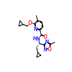 Cc1nc([C@H](CC2CC2)NC(=O)c2ccc(C)c(OCC3CC3)n2)no1